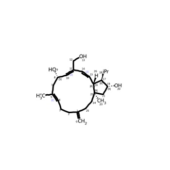 C=C1CC/C=C(\C)C[C@H](O)/C=C(CO)/C=C\[C@@H]2[C@@H](C(C)C)[C@H](O)C[C@@]2(C)CC1